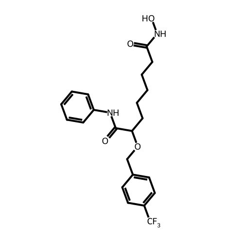 O=C(CCCCCC(OCc1ccc(C(F)(F)F)cc1)C(=O)Nc1ccccc1)NO